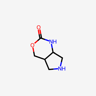 O=C1N[C]2CNCC2CO1